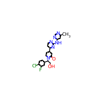 Cc1cc(Nc2nccc(-c3ccn(C(CO)c4ccc(Cl)c(F)c4)c(=O)c3)n2)ncn1